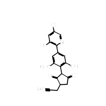 C#CCC1CC(=O)C(c2c(C)cc(-c3ncc(Cl)cc3F)cc2C)C1=O